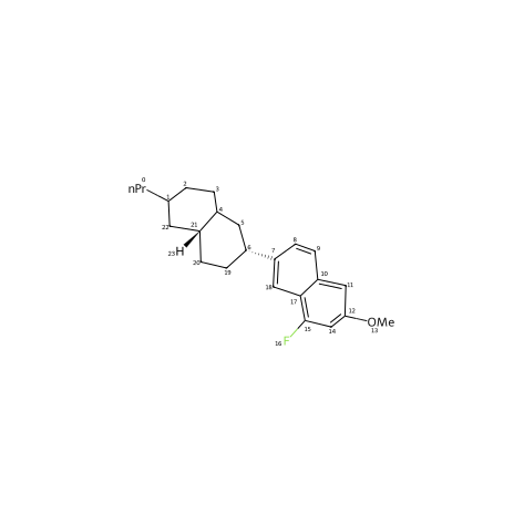 CCCC1CCC2C[C@H](c3ccc4cc(OC)cc(F)c4c3)CC[C@@H]2C1